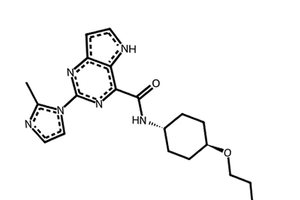 COCCO[C@H]1CC[C@H](NC(=O)c2nc(-n3ccnc3C)nc3cc[nH]c23)CC1